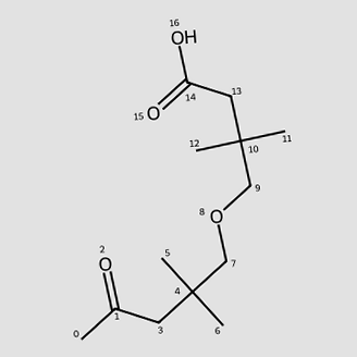 CC(=O)CC(C)(C)COCC(C)(C)CC(=O)O